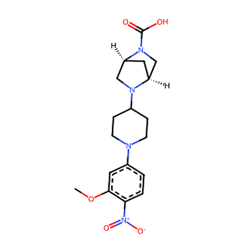 COc1cc(N2CCC(N3C[C@@H]4C[C@H]3CN4C(=O)O)CC2)ccc1[N+](=O)[O-]